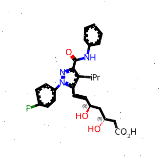 CC(C)c1c(C(=O)Nc2ccccc2)nn(-c2ccc(F)cc2)c1C=C[C@H](O)C[C@@H](O)CC(=O)O